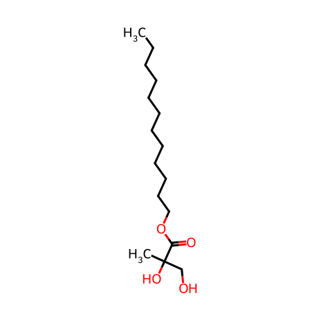 CCCCCCCCCCCCOC(=O)C(C)(O)CO